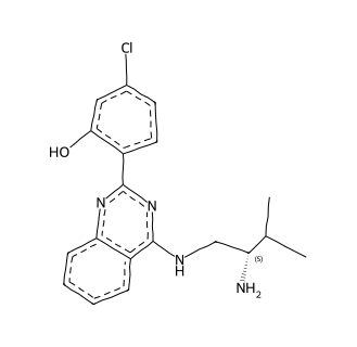 CC(C)[C@H](N)CNc1nc(-c2ccc(Cl)cc2O)nc2ccccc12